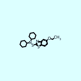 CCOc1ccc2sc(SN(C3CCCCC3)C3CCCCC3)nc2c1